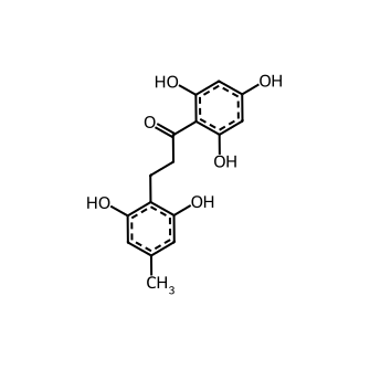 Cc1cc(O)c(CCC(=O)c2c(O)cc(O)cc2O)c(O)c1